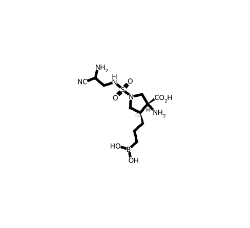 N#CC(N)CNS(=O)(=O)N1C[C@H](CCCB(O)O)[C@](N)(C(=O)O)C1